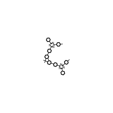 Cc1ccc(-c2nc(-c3ccccc3)nc(-c3ccc(-c4ccc5c(c4)-c4cc(-c6ccc(-c7nc(-c8ccccc8)nc(-c8ccc(C)cc8)n7)cc6)ccc4C5(C)C)cc3)n2)cc1